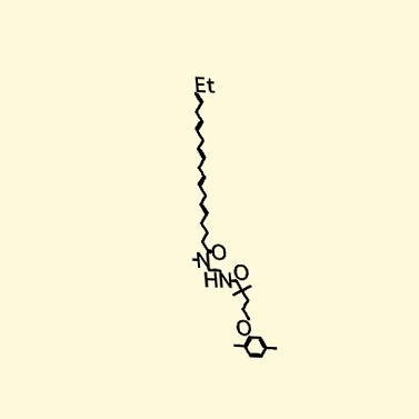 CCC=CCC=CCC=CCC=CCC=CCCCC(=O)N(C)CCNC(=O)C(C)(C)CCCOc1cc(C)ccc1C